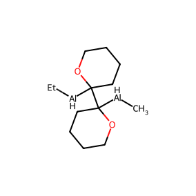 C[CH2][AlH][C]1([C]2([AlH][CH3])CCCCO2)CCCCO1